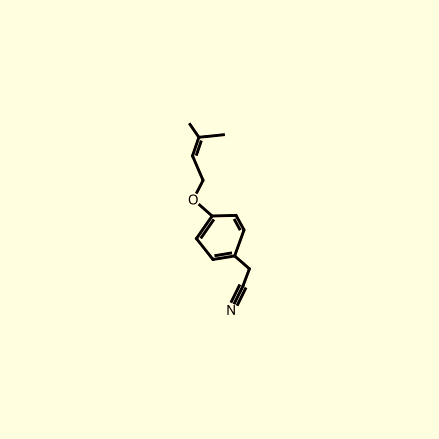 CC(C)=CCOc1ccc(CC#N)cc1